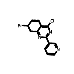 Clc1nc(-c2cccnc2)nc2c1C=CC(Br)C2